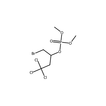 COP(=O)(OC)OC(CBr)CC(Cl)(Cl)Cl